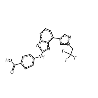 O=C(O)c1ccc(Nc2nc3c(-c4cnn(CC(F)(F)F)c4)cccn3n2)cc1